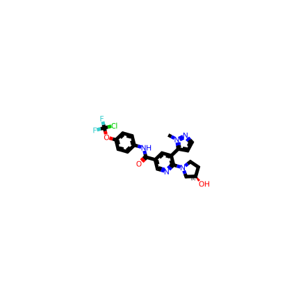 Cn1nccc1-c1cc(C(=O)Nc2ccc(OC(F)(F)Cl)cc2)cnc1N1CC[C@@H](O)C1